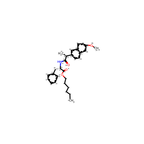 CCCCCCOC(=O)[C@H](Cc1ccccc1)NC(=O)[C@@H](C)c1ccc2cc(OC)ccc2c1